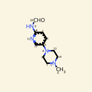 CN1CCN(c2ccc(NC=O)nc2)CC1